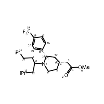 COC(=O)C[C@@H]1CCN(C(CCC(C)C)CC(C)C)[C@H](c2ccc(C(F)(F)F)cc2)C1